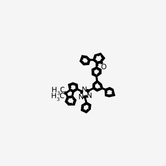 CC1(C)c2ccccc2-c2c(-c3nc(-c4ccccc4)nc(-c4cc(-c5ccccc5)cc(-c5ccc6c(c5)oc5cccc(-c7ccccc7)c56)c4)n3)cccc21